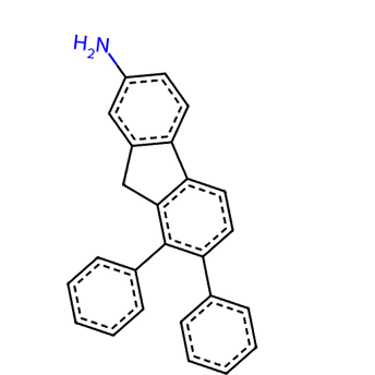 Nc1ccc2c(c1)Cc1c-2ccc(-c2ccccc2)c1-c1ccccc1